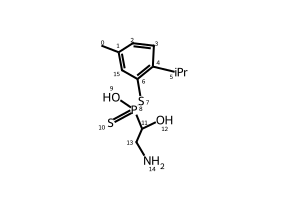 Cc1ccc(C(C)C)c(SP(O)(=S)C(O)CN)c1